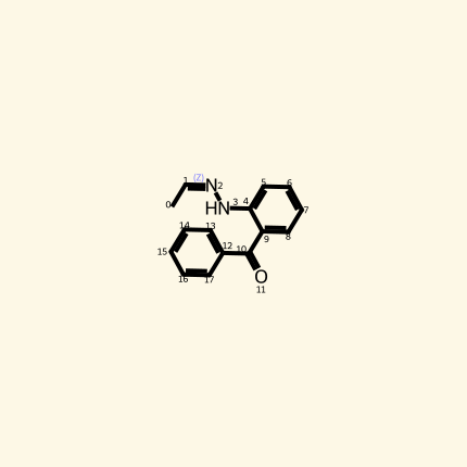 C/C=N\Nc1ccccc1C(=O)c1ccccc1